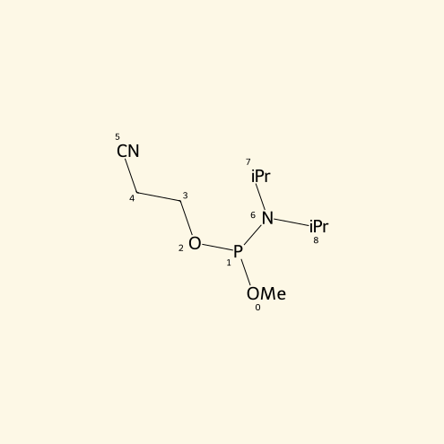 COP(OCCC#N)N(C(C)C)C(C)C